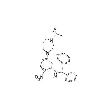 CC(F)N1CCCN(c2ccc([N+](=O)[O-])c(NC(c3ccccc3)c3ccccc3)c2)CC1